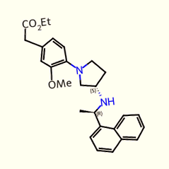 CCOC(=O)Cc1ccc(N2CC[C@H](N[C@H](C)c3cccc4ccccc34)C2)c(OC)c1